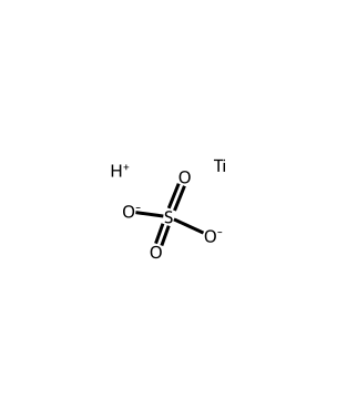 O=S(=O)([O-])[O-].[H+].[Ti]